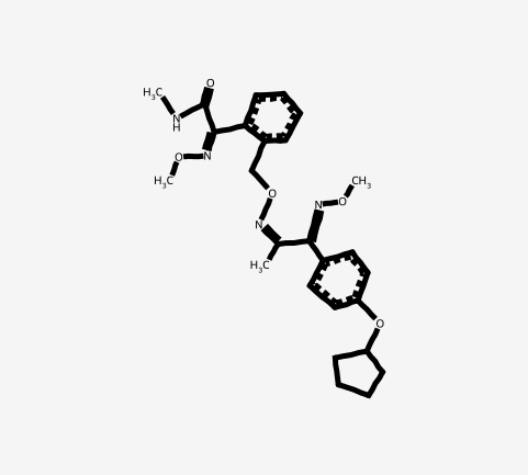 CNC(=O)C(=NOC)c1ccccc1CON=C(C)C(=NOC)c1ccc(OC2CCCC2)cc1